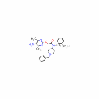 Cc1nc(OCC(=O)N(C)C2CCN(Cc3ccccc3)CC2)nc(C)c1N.O=S(=O)(O)c1ccccc1